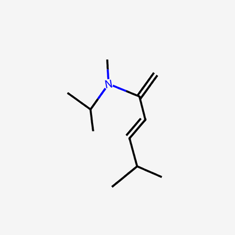 C=C(/C=C/C(C)C)N(C)C(C)C